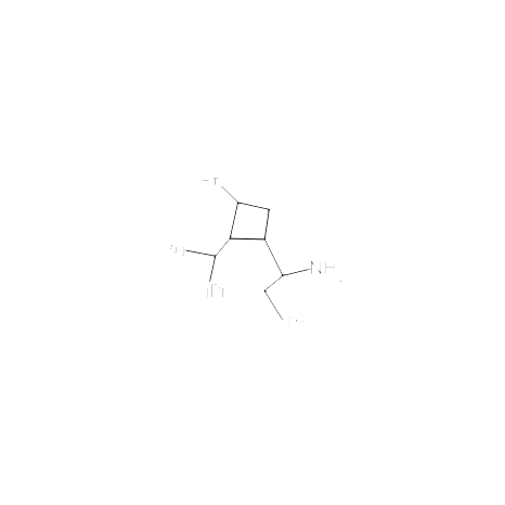 CCC(C)C(C(C)C)C1C(CC)CC1C(N)CC(C)C